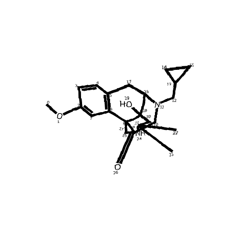 COc1ccc2c(c1)C13CCN(CC4CC4)C(C2)C1(O)CC(C)(C)NC(=O)C3